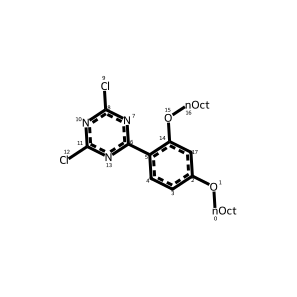 CCCCCCCCOc1ccc(-c2nc(Cl)nc(Cl)n2)c(OCCCCCCCC)c1